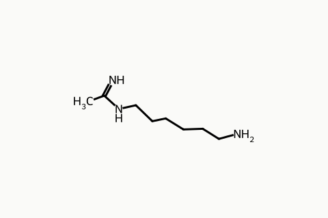 CC(=N)NCCCCCCN